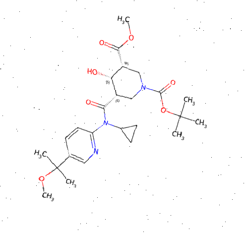 COC(=O)[C@@H]1CN(C(=O)OC(C)(C)C)C[C@H](C(=O)N(c2ccc(C(C)(C)OC)cn2)C2CC2)[C@@H]1O